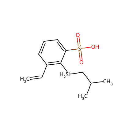 C=Cc1cccc(S(=O)(=O)O)c1[SiH2]CC(C)C